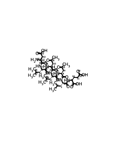 CC(C)C[C@H](NC(=O)[C@H](CC(C)C)NC(=O)[C@H](CC(C)C)NC(=O)[C@H](CC(C)C)NC(=O)[C@H](CC(C)C)NC(=O)[C@@H](N)CC(=O)O)C(=O)N[C@@H](CCC(=O)O)C(=O)O